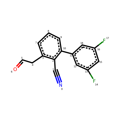 N#Cc1c(CC=O)cccc1-c1cc(F)cc(F)c1